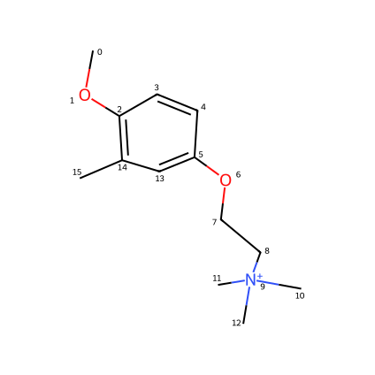 COc1ccc(OCC[N+](C)(C)C)cc1C